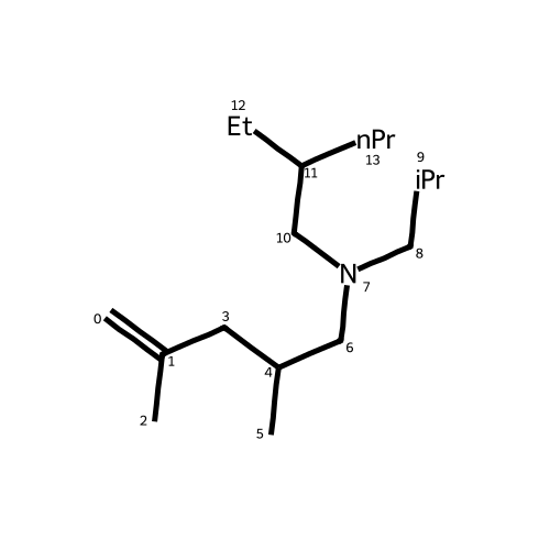 C=C(C)CC(C)CN(CC(C)C)CC(CC)CCC